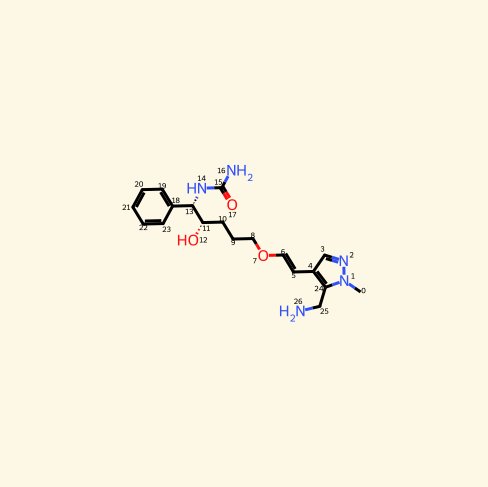 Cn1ncc(C=COCCC[C@H](O)[C@@H](NC(N)=O)c2ccccc2)c1CN